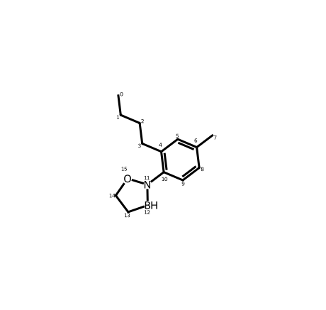 CCCCc1cc(C)ccc1N1BCCO1